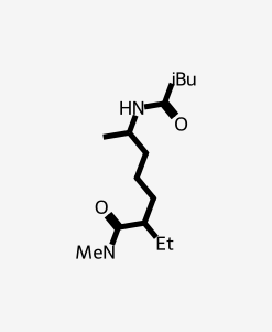 CCC(C)C(=O)NC(C)CCCC(CC)C(=O)NC